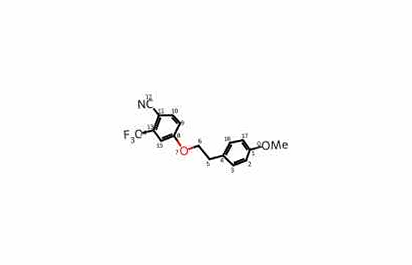 COc1ccc(CCOc2ccc(C#N)c(C(F)(F)F)c2)cc1